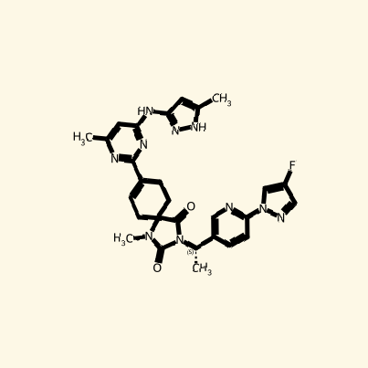 Cc1cc(Nc2cc(C)[nH]n2)nc(C2=CCC3(CC2)C(=O)N([C@@H](C)c2ccc(-n4cc(F)cn4)nc2)C(=O)N3C)n1